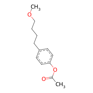 COCCCCc1ccc(OC(C)=O)cc1